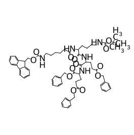 CC(C)(C)OC(=O)NCCCCC(NC(=O)CCCCCNC(=O)OCC1c2ccccc2-c2ccccc21)C(=O)NC(CCC(=O)OCc1ccccc1)C(=O)NC(CCC(=O)OCc1ccccc1)C(=O)OCc1ccccc1